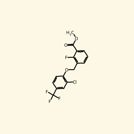 COC(=O)c1cccc(COc2ccc(C(F)(F)F)cc2Cl)c1F